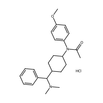 COc1ccc(N(C(C)=O)C2CCC(C(c3ccccc3)N(C)C)CC2)cc1.Cl